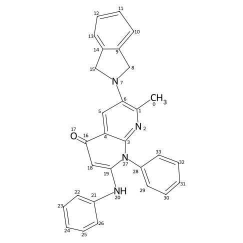 Cc1nc2c(cc1N1Cc3ccccc3C1)c(=O)cc(Nc1ccccc1)n2-c1ccccc1